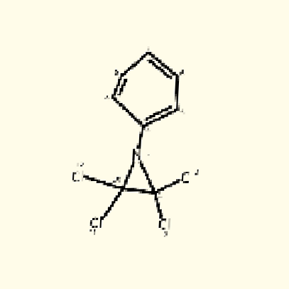 ClC1(Cl)N(c2ccccc2)C1(Cl)Cl